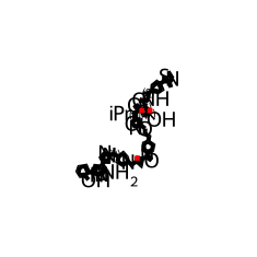 Cc1ncsc1-c1ccc([C@H](C)NC(=O)[C@@H]2C[C@@H](O)CN2C(=O)[C@H](c2cc(OCCC3CCN(C(=O)C4CC(CN5CCC([C@@H](C)n6cc(-c7cc(-c8ccccc8O)nnc7N)cn6)CC5)C4)CC3)no2)C(C)C)cc1